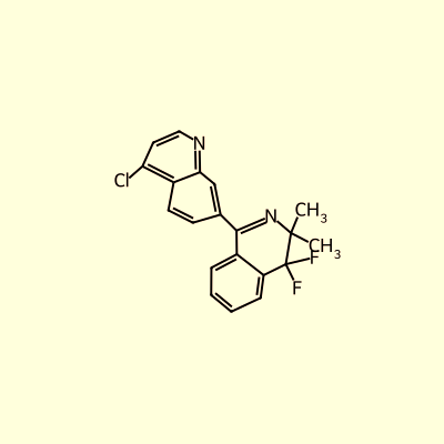 CC1(C)N=C(c2ccc3c(Cl)ccnc3c2)c2ccccc2C1(F)F